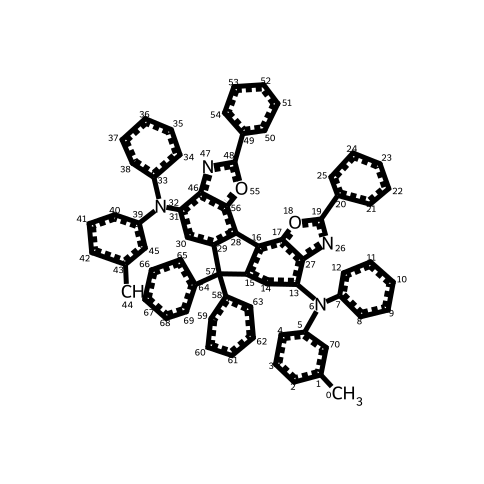 Cc1cccc(N(c2ccccc2)c2cc3c(c4oc(-c5ccccc5)nc24)-c2c(cc(N(c4ccccc4)c4cccc(C)c4)c4nc(-c5ccccc5)oc24)C3(c2ccccc2)c2ccccc2)c1